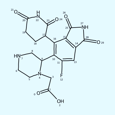 O=C(O)CN1CCNCC1c1c(F)cc2c(c1C1CCC(=O)NC1=O)C(=O)NC2=O